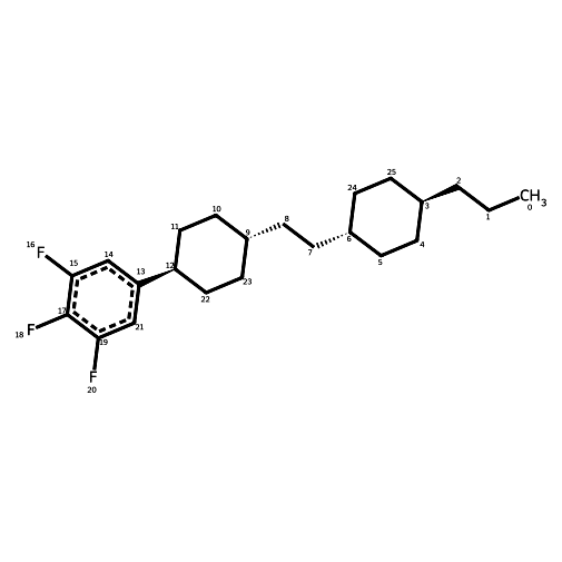 CCC[C@H]1CC[C@H](CC[C@H]2CC[C@H](c3cc(F)c(F)c(F)c3)CC2)CC1